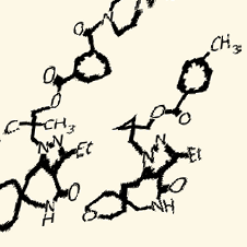 CCc1nn(CC(C)(C)COC(=O)c2cccc(C(=O)N3CCN(C(C)=O)CC3)c2)c2c1C(=O)NCC1(CCOCC1)C2.CCc1nn(CC2(COC(=O)c3ccc(C)cc3)CC2)c2c1C(=O)NCC1(CCOCC1)C2